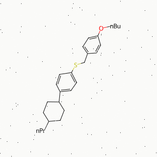 CCCCOc1ccc(CSc2ccc(C3CCC(CCC)CC3)cc2)cc1